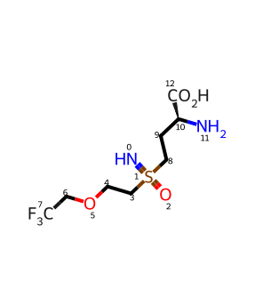 N=S(=O)(CCOCC(F)(F)F)CC[C@H](N)C(=O)O